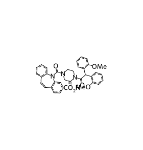 COc1ccccc1C(C(=O)N1CCN(C(=O)N2c3ccccc3C=Cc3ccccc32)C[C@H]1C(=O)O)c1ccccc1OC